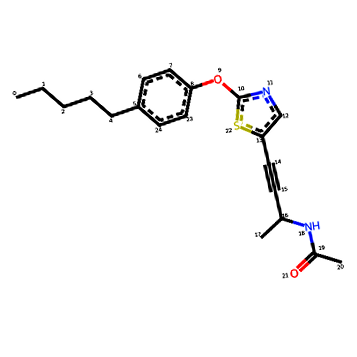 CCCCCc1ccc(Oc2ncc(C#CC(C)NC(C)=O)s2)cc1